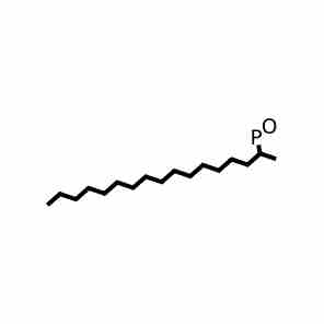 CCCCCCCCCCCCCCCC(C)P=O